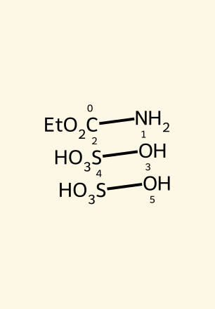 CCOC(N)=O.O=S(=O)(O)O.O=S(=O)(O)O